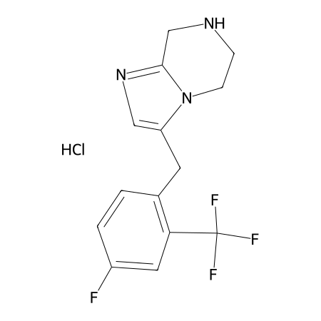 Cl.Fc1ccc(Cc2cnc3n2CCNC3)c(C(F)(F)F)c1